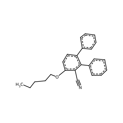 CCCCCOc1ccc(-c2ccccc2)c(-c2ccccc2)c1C#N